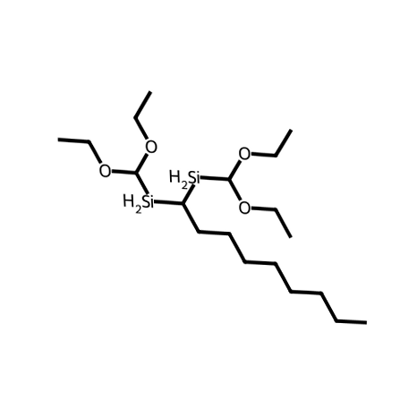 CCCCCCCCC([SiH2]C(OCC)OCC)[SiH2]C(OCC)OCC